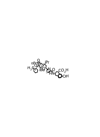 CCCC(=O)OCN(C(=O)[C@@H](NC(=O)[C@H]1CCCCN1C)C(C)CC)[C@H](CCc1nc(C(=O)N[C@H]2Cc3ccc(O)cc3[C@H](C(=O)O)C2)cs1)C(C)C